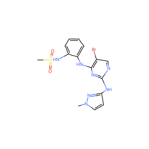 Cn1ccc(Nc2ncc(Br)c(Nc3ccccc3NS(C)(=O)=O)n2)n1